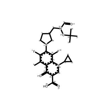 Cc1c(F)c(N2CCC(CN(C=O)OC(C)(C)C)C2)c(F)c2c1c(=O)c(C(=O)O)cn2C1CC1